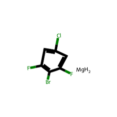 Fc1cc(Cl)cc(F)c1Br.[MgH2]